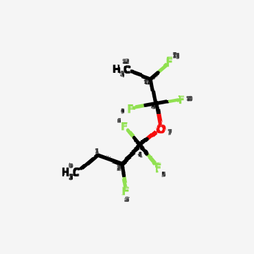 CCC(F)C(F)(F)OC(F)(F)C(C)F